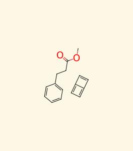 COC(=O)CCc1ccccc1.c1cc2ccc1-2